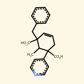 CC1C(Cc2ccccc2)(C(=O)O)C=CCC1(C(=O)O)c1ccncc1